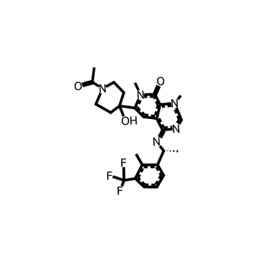 CC(=O)N1CCC(O)(c2cc3/c(=N/[C@H](C)c4cccc(C(F)(F)F)c4C)ncn(C)c3c(=O)n2C)CC1